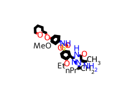 C=C(CCC)N1N=C(c2cc(S(=O)(=O)Nc3ccc(OCC4CCCCO4)c(OC)c3)ccc2OCC)NC(=O)/C1=C(\C)N